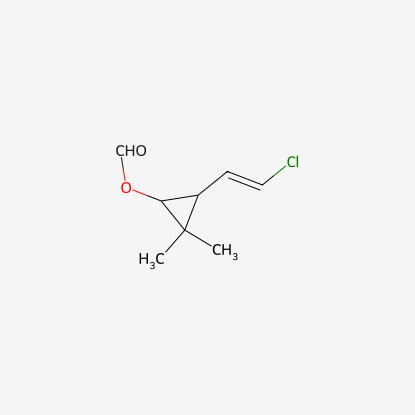 CC1(C)C(/C=C/Cl)C1OC=O